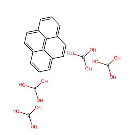 OB(O)O.OB(O)O.OB(O)O.OB(O)O.c1cc2ccc3cccc4ccc(c1)c2c34